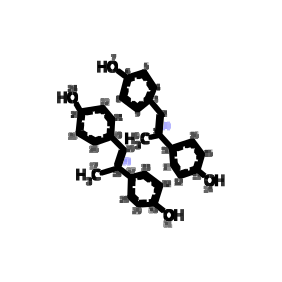 C/C(=C\c1ccc(O)cc1)c1ccc(O)cc1.C/C(=C\c1ccc(O)cc1)c1ccc(O)cc1